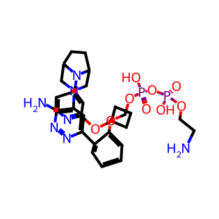 NCCOP(=O)(O)OP(=O)(O)OCOc1ccccc1-c1cc(N2CC3CCC(C2)N3c2ccnc(OC3CCC3)c2)c(N)nn1